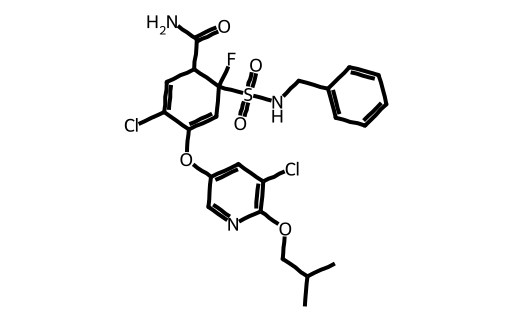 CC(C)COc1ncc(OC2=CC(F)(S(=O)(=O)NCc3ccccc3)C(C(N)=O)C=C2Cl)cc1Cl